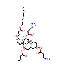 CCCCCCCOC(=O)CC[C@@H](C)[C@H]1CC[C@H]2C3[C@H](OC(=O)CCC)CC4C[C@H](OC(=O)CCN)CC[C@]4(C)[C@H]3C[C@H](OC(=O)CCN)[C@]12C